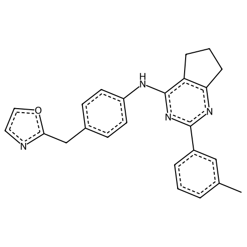 Cc1cccc(-c2nc3c(c(Nc4ccc(Cc5ncco5)cc4)n2)CCC3)c1